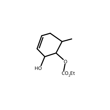 CCOC(=O)OC1C(O)C=CCC1C